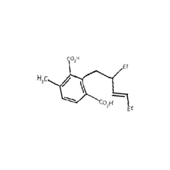 CCC=CC(CC)Cc1c(C(=O)O)ccc(C)c1C(=O)O